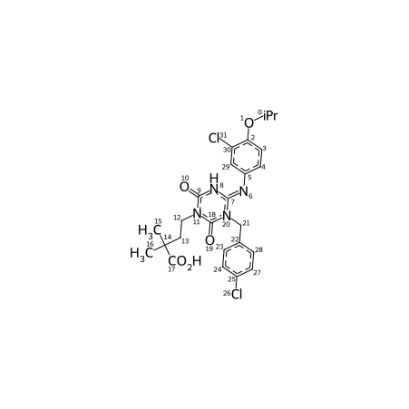 CC(C)Oc1ccc(/N=c2\[nH]c(=O)n(CCC(C)(C)C(=O)O)c(=O)n2Cc2ccc(Cl)cc2)cc1Cl